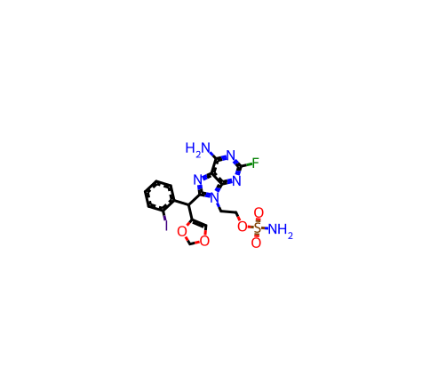 Nc1nc(F)nc2c1nc(C(C1=COCO1)c1ccccc1I)n2CCOS(N)(=O)=O